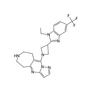 CCn1c(C2CN(c3c4c(nc5ccnn35)CCNCC4)C2)nc2cc(C(F)(F)F)ccc21